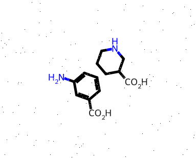 Nc1cccc(C(=O)O)c1.O=C(O)C1CCCNC1